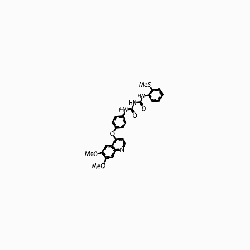 COc1cc2nccc(Oc3ccc(NC(=O)NC(=O)Nc4ccccc4SC)cc3)c2cc1OC